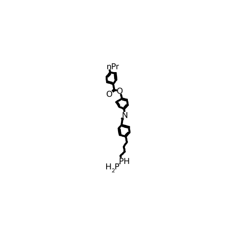 CCCc1ccc(C(=O)Oc2ccc(N=Cc3ccc(CCCCPP)cc3)cc2)cc1